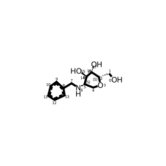 OC[C@@H]1OC[C@H](NCc2ccccc2)[C@@H](O)[C@@H]1O